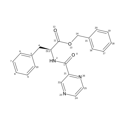 O=C(N[C@@H](Cc1ccccc1)C(=O)OCc1ccccc1)c1cnccn1